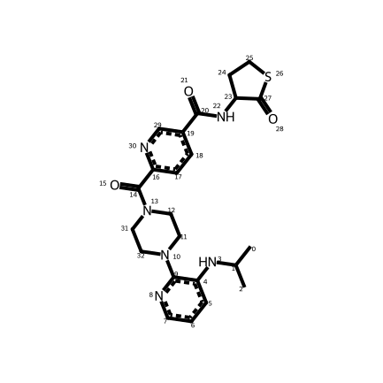 CC(C)Nc1cccnc1N1CCN(C(=O)c2ccc(C(=O)NC3CCSC3=O)cn2)CC1